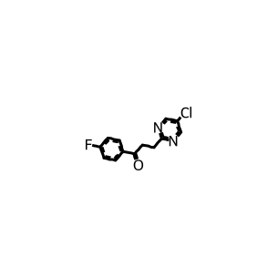 O=C(CCc1ncc(Cl)cn1)c1ccc(F)cc1